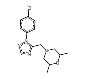 CC1CN(Cc2nnnn2-c2ccc(Cl)cc2)CC(C)O1